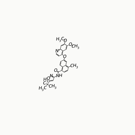 COc1cc2nccc(Oc3ccc4c(C(=O)Nc5cc(C(C)(C)C)on5)ccc(C)c4c3)c2cc1OC